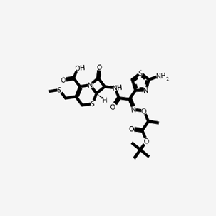 CSCC1=C(C(=O)O)N2C(=O)C(NC(=O)/C(=N/OC(C)C(=O)OC(C)(C)C)c3csc(N)n3)[C@H]2SC1